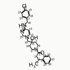 CC(CC(=O)N1CCC(O)(CN2C=CC(NCc3ccc(Cl)cc3)=NC2)CC1)c1ccccc1